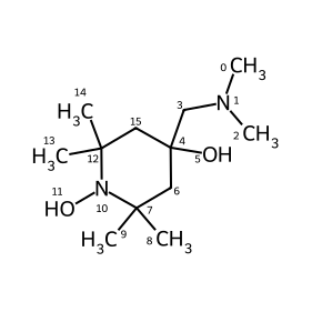 CN(C)CC1(O)CC(C)(C)N(O)C(C)(C)C1